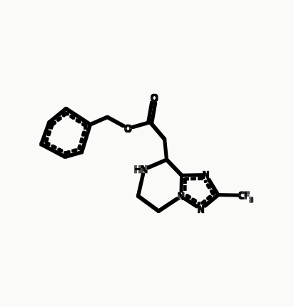 O=C(CC1NCCn2nc(C(F)(F)F)nc21)OCc1ccccc1